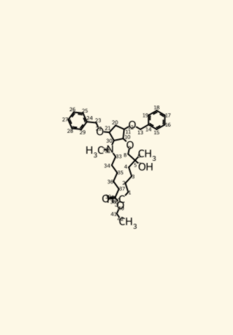 CCCCCC(C)(O)COC1C(OCc2ccccc2)CC(OCc2ccccc2)C1N(C)CCCCCC(=O)OCC